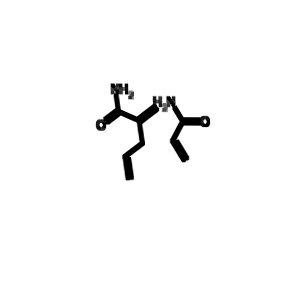 C=CC(N)=O.C=CCC(=C)C(N)=O